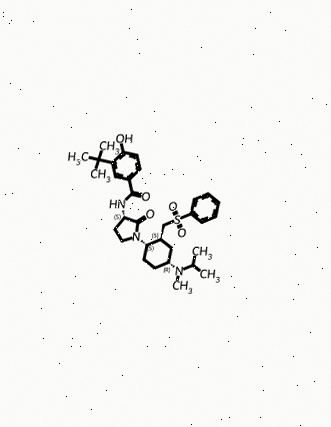 CC(C)N(C)[C@@H]1CC[C@H](N2CC[C@H](NC(=O)c3ccc(O)c(C(C)(C)C)c3)C2=O)[C@@H](CS(=O)(=O)c2ccccc2)C1